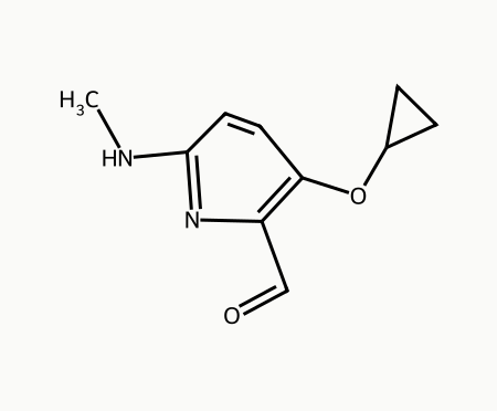 CNc1ccc(OC2CC2)c(C=O)n1